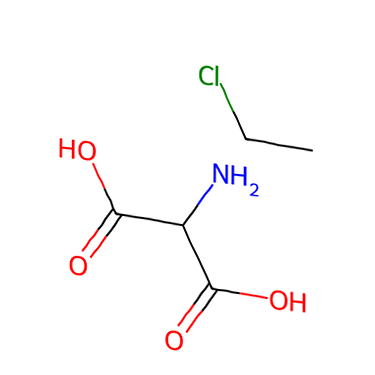 CCCl.NC(C(=O)O)C(=O)O